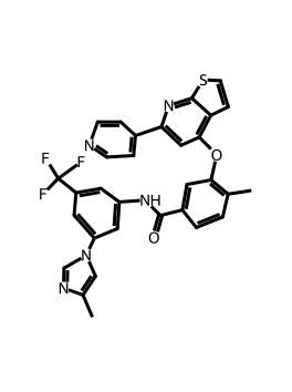 Cc1cn(-c2cc(NC(=O)c3ccc(C)c(Oc4cc(-c5ccncc5)nc5sccc45)c3)cc(C(F)(F)F)c2)cn1